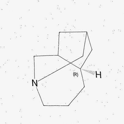 C1C[C@@H]2CC3CC2CN(C1)C3